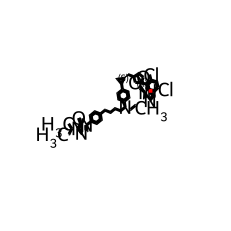 CCCN(CCCCc1ccc(-n2cnn(C(C)CC)c2=O)cc1)c1ccc(C2C[C@H]2CC2CO[C@](Cn3cncn3)(c3ccc(Cl)cc3Cl)O2)cc1